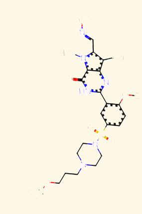 CCCc1c(C=NO)n(C)c2c(=O)[nH]c(-c3cc(S(=O)(=O)N4CCN(CCCO[N+](=O)[O-])CC4)ccc3OCC)nc12